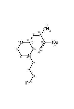 CC(C)CCCN1CCO[C@H](CN(C)C(=O)C(C)(C)C)C1